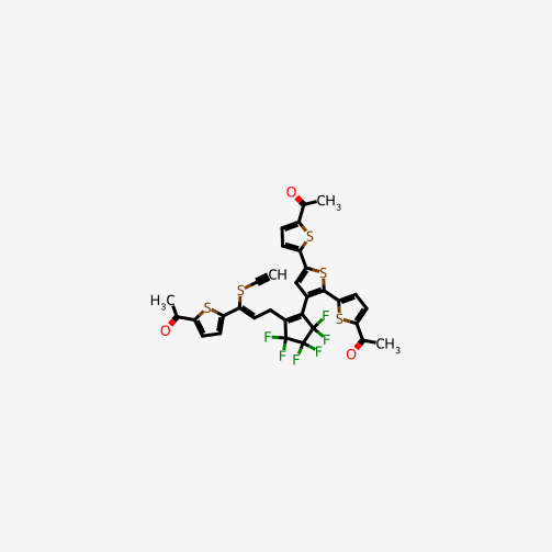 C#CS/C(=C\CC1=C(c2cc(-c3ccc(C(C)=O)s3)sc2-c2ccc(C(C)=O)s2)C(F)(F)C(F)(F)C1(F)F)c1ccc(C(C)=O)s1